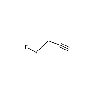 C#CC[CH]F